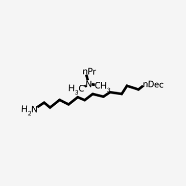 CCCCCCCCCCCCCCCCCCCCCCN.CCCN(C)C